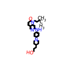 CC(C)CCn1c(=O)ccc2cnc(Nc3ccc(N4CCC(CCCO)CC4)cc3)cc21